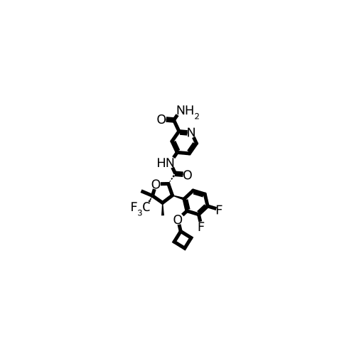 C[C@@H]1[C@H](c2ccc(F)c(F)c2OC2CCC2)[C@@H](C(=O)Nc2ccnc(C(N)=O)c2)O[C@@]1(C)C(F)(F)F